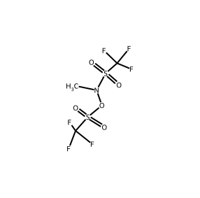 CN(OS(=O)(=O)C(F)(F)F)S(=O)(=O)C(F)(F)F